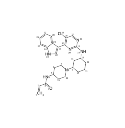 C=CC(=O)NC1CCN(C2CCC[C@@H](Nc3ncc(Cl)c(-c4c[nH]c5ccccc45)n3)C2)CC1